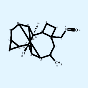 CC1CC2(CN=O)CCC2[C@@H]2C3C4CC5CC5[C@H]2C3C14